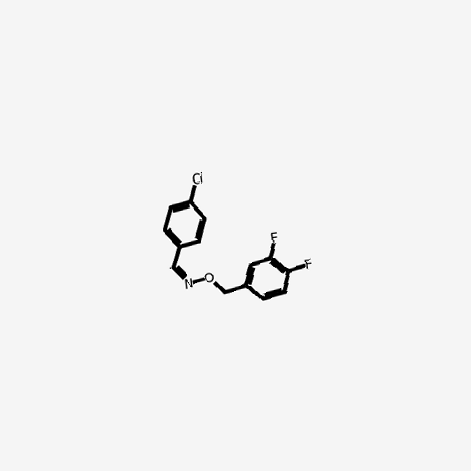 Fc1ccc(CO/N=[C]\c2ccc(Cl)cc2)cc1F